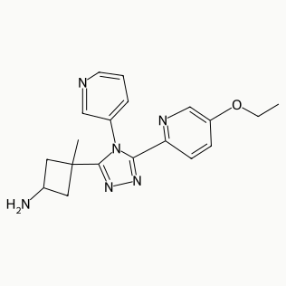 CCOc1ccc(-c2nnc(C3(C)CC(N)C3)n2-c2cccnc2)nc1